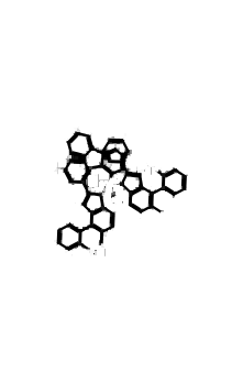 Cc1ccc2c(c1-c1ccccc1C(C)C)C=C(c1ccccc1)[CH]2[Zr]([Cl])([Cl])([c]1cccc2c1[SiH2]c1ccccc1-2)[CH]1C(c2ccccc2)=Cc2c1ccc(C)c2-c1ccccc1C(C)C